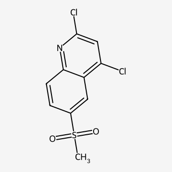 CS(=O)(=O)c1ccc2nc(Cl)cc(Cl)c2c1